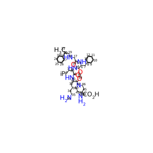 CC(C)C[C@@H](NC(=O)C(Cc1ccccc1)NC(=O)CNC[C@H](C)c1ccccc1)C(=O)NC(CCCCN)C(=O)N1CCC(N)(C(=O)O)CC1